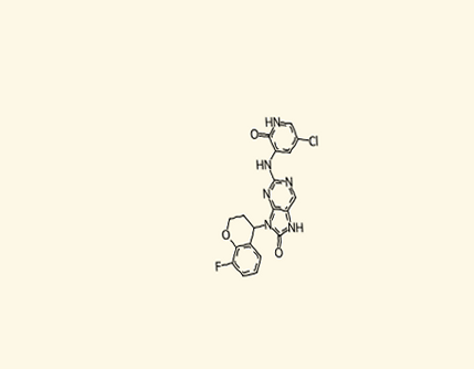 O=c1[nH]cc(Cl)cc1Nc1ncc2[nH]c(=O)n(C3CCOc4c(F)cccc43)c2n1